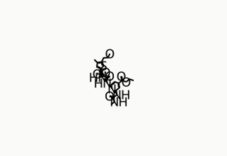 CCOC(=O)c1cc(NC(=O)NC)nc(NC(=O)NS(=O)(=O)c2cc(C)c(CCOC)s2)c1